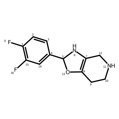 Fc1ccc(C2NC3=C(CCNC3)O2)cc1F